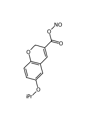 CC(C)Oc1ccc2c(c1)C=C(C(=O)ON=O)CO2